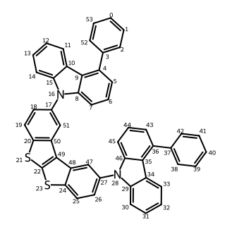 c1ccc(-c2cccc3c2c2ccccc2n3-c2ccc3sc4sc5ccc(-n6c7ccccc7c7c(-c8ccccc8)cccc76)cc5c4c3c2)cc1